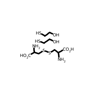 NC(CSSCC(N)C(=O)O)C(=O)O.OCCS.OCCS